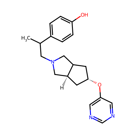 CC(CN1CC2C[C@H](Oc3cncnc3)C[C@H]2C1)c1ccc(O)cc1